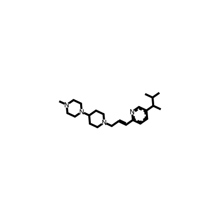 CC(C)C(C)c1ccc(/C=C/CN2CCC(N3CCN(C)CC3)CC2)nc1